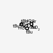 CC(C)[C@H](N=Cc1cc([N+](=O)[O-])cc(Br)c1O)C(O)(c1cc(C(C)(C)C)cc(C(C)(C)C)c1)c1cc(C(C)(C)C)cc(C(C)(C)C)c1